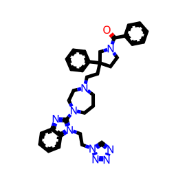 O=C(c1ccccc1)N1CCC(CCN2CCCN(c3nc4ccccc4n3CCn3cnnn3)CC2)(c2ccccc2)C1